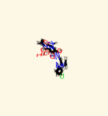 C=N[C@@]12Cn3cc(C(=O)NCc4nc5ccc(Cl)cc5n4C(C)C)c(=O)c(O)c3C(=O)N1[C@@H](C)CO2